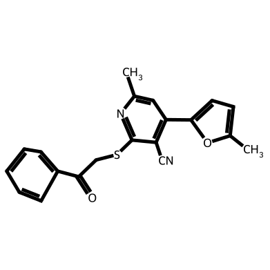 Cc1cc(-c2ccc(C)o2)c(C#N)c(SCC(=O)c2ccccc2)n1